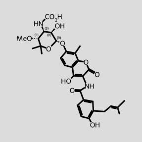 CO[C@@H]1[C@@H](NC(=O)O)[C@@H](O)[C@H](Oc2ccc3c(O)c(NC(=O)c4ccc(O)c(CC=C(C)C)c4)c(=O)oc3c2C)OC1(C)C